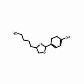 OCCCCC1COC(C2=CC=C(O)CC2)O1